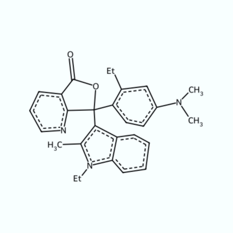 CCc1cc(N(C)C)ccc1C1(c2c(C)n(CC)c3ccccc23)OC(=O)c2cccnc21